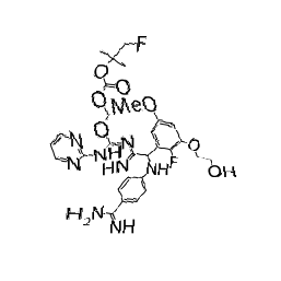 COc1cc(OCCO)c(F)c([C@@H](Nc2ccc(C(=N)N)cc2)C(=N)/N=C(\Nc2ncccn2)OCOC(=O)OC(C)(C)CF)c1